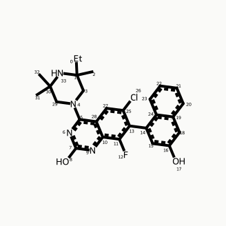 CCC1(C)CN(c2nc(O)nc3c(F)c(-c4cc(O)cc5ccccc45)c(Cl)cc23)CC(C)(C)N1